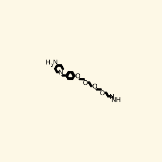 N=NCCOCCOCCOCCOc1ccc(CN2CCC(N)CC2)cc1